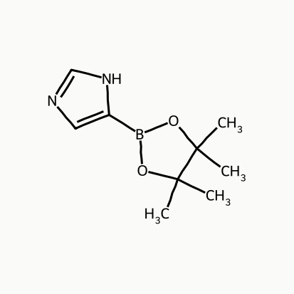 CC1(C)OB(c2cnc[nH]2)OC1(C)C